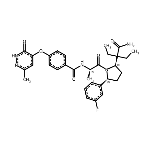 CCC(CC)(C(N)=O)[C@H]1CC[C@@H](c2cccc(F)c2)N1C(=O)[C@@H](C)NC(=O)c1ccc(Oc2cc(C)n[nH]c2=O)cc1